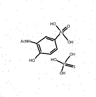 CC(=O)Nc1cc([As](=O)(O)O)ccc1O.OP(O)(O)=S